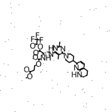 COC(=O)CCOC(=O)N[C@@H](CNc1nc(C)nc(N2CCC(c3ccc4c(n3)NCCC4)CC2)c1C)C(=O)OC(=O)C(F)(F)F